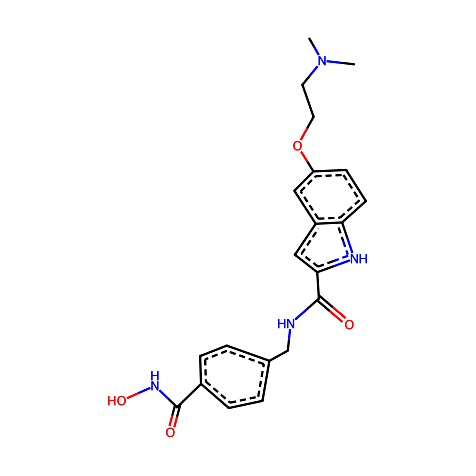 CN(C)CCOc1ccc2[nH]c(C(=O)NCc3ccc(C(=O)NO)cc3)cc2c1